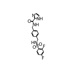 O=C(NCc1ccc(CNS(=O)(=O)c2ccc(F)cc2F)cc1)c1ncc[nH]1